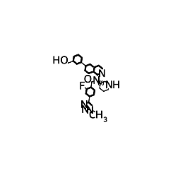 Cn1cc(-c2ccc(C(=O)N(c3nccc4cc(-c5cccc(CO)c5)ccc34)[C@@H]3CCCNC3)c(F)c2)nn1